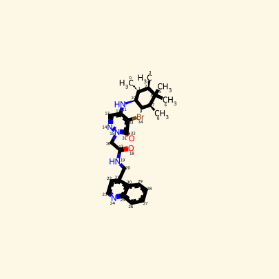 C[C@@H]1[C@@H](C)C(C)(C)[C@@H](C)C[C@H]1Nc1cnn(CC(=O)NCc2ccnc3ccccc23)c(=O)c1Br